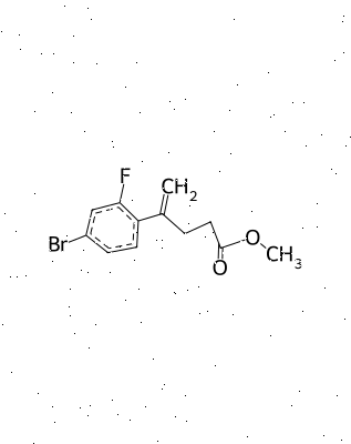 C=C(CCC(=O)OC)c1ccc(Br)cc1F